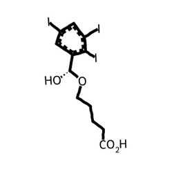 O=C(O)CCCCO[C@H](O)c1cc(I)cc(I)c1I